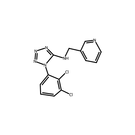 Clc1cccc(-n2nnnc2NCc2cccnc2)c1Cl